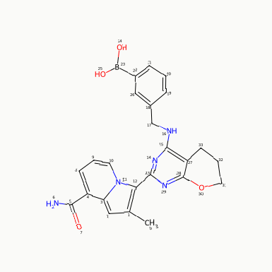 Cc1cc2c(C(N)=O)cccn2c1-c1nc(NCc2cccc(B(O)O)c2)c2c(n1)OCCC2